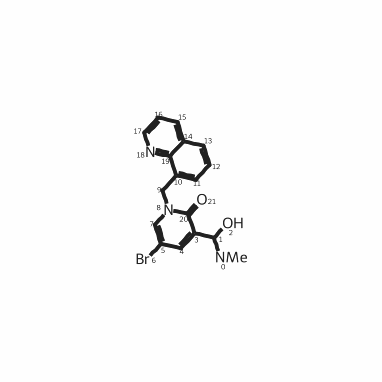 CNC(O)c1cc(Br)cn(Cc2cccc3cccnc23)c1=O